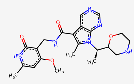 COc1cc(C)[nH]c(=O)c1CNC(=O)c1c(C)n([C@H](C)C2CNCCO2)c2ncncc12